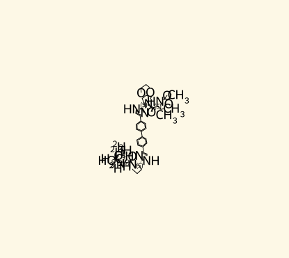 [2H]N(C(=O)O)[C@]([2H])(C(=O)N1CCC[C@H]1c1nc(-c2ccc(-c3ccc(-c4c[nH]c([C@@H]5CC6(CN5C(=O)[C@@H](NC(=O)OC)C(C)C)OCCCO6)n4)cc3)cc2)c[nH]1)C([2H])(C)C([2H])([2H])[2H]